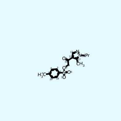 Cc1ccc(S(=O)(=O)OCC(=O)c2cnn(C(C)C)c2C)cc1